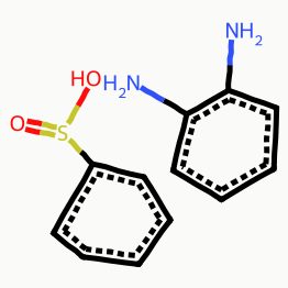 Nc1ccccc1N.O=S(O)c1ccccc1